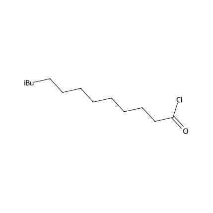 CCC(C)CCCCCCCCC(=O)Cl